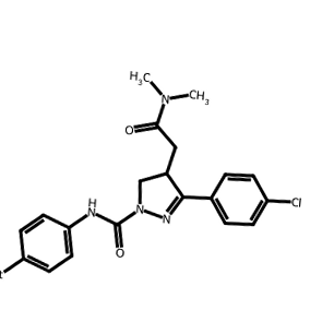 CCc1ccc(NC(=O)N2CC(CC(=O)N(C)C)C(c3ccc(Cl)cc3)=N2)cc1